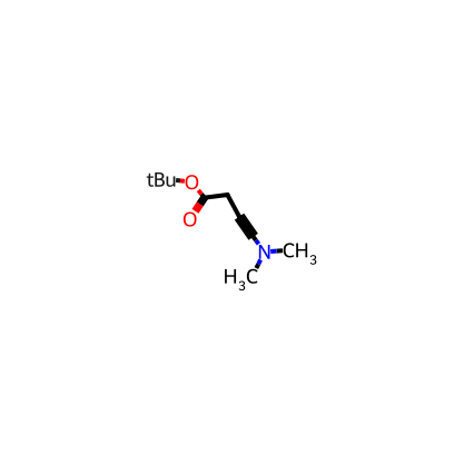 CN(C)C#CCC(=O)OC(C)(C)C